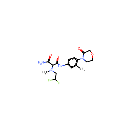 CN(CC(F)F)[C@@H](C(N)=O)C(=O)Nc1ccc(N2CCOCC2=O)c(C(F)(F)F)c1